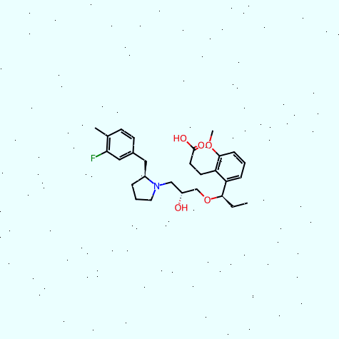 CC[C@@H](OC[C@H](O)CN1CCC[C@H]1Cc1ccc(C)c(F)c1)c1cccc(OC)c1CCC(=O)O